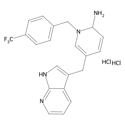 Cl.Cl.NC1C=CC(Cc2c[nH]c3ncccc23)=CN1Cc1ccc(C(F)(F)F)cc1